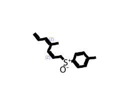 C=C/C=C(C)\C=C/C[S+]([O-])c1ccc(C)cc1